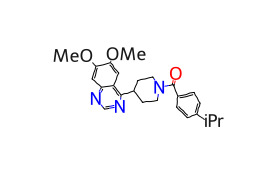 COc1cc2ncnc(C3CCN(C(=O)c4ccc(C(C)C)cc4)CC3)c2cc1OC